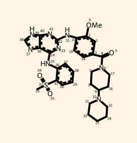 COc1cc(C(=O)N2CCC(N3CCCCC3)CC2)ccc1Nc1nc(Nc2ccccc2S(C)(=O)=O)c2nc[nH]c2n1